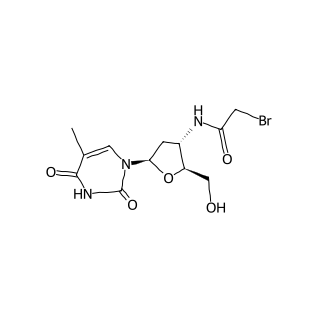 Cc1cn([C@H]2C[C@H](NC(=O)CBr)[C@@H](CO)O2)c(=O)[nH]c1=O